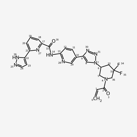 C=CC(=O)N1CC(n2cc(-c3ccc(NC(=O)c4cccc(-c5ccn[nH]5)n4)nc3)nn2)CC(F)(F)C1